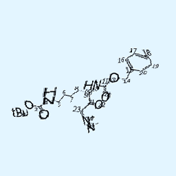 CC(C)(C)OC(=O)NCCCC[C@H](NC(=O)OCc1ccccc1)C(=O)C=[N+]=[N-]